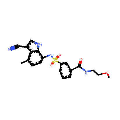 COCCNC(=O)c1cccc(S(=O)(=O)Nc2ccc(C)c3c(C#N)c[nH]c23)c1